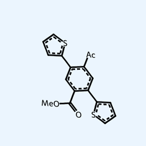 COC(=O)c1cc(-c2cccs2)c(C(C)=O)cc1-c1cccs1